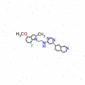 COc1ccc(F)c2c1cc(C)n2CCNc1cc(-c2ccc3ccncc3c2)ncn1